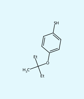 CCC(C)(CC)Oc1ccc(S)cc1